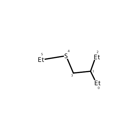 [CH2]CC(C[CH2])CSCC